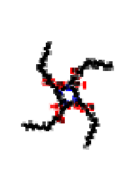 CCCCCCC/C=C\CCCC(=O)OCC(O)CN1CCCN(CC(O)COC(=O)CCC/C=C\CCCCCCC)CCN(CC(O)COC(=O)CCC/C=C\CCCCCCC)CCCN(CC(O)COC(=O)CCC/C=C\CCCCCCC)CC1